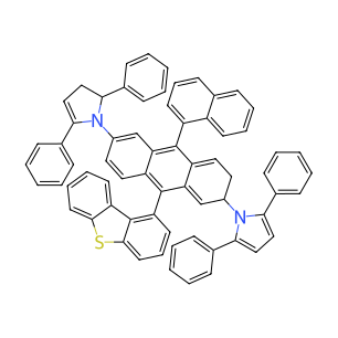 C1=C(c2ccccc2)N(c2ccc3c(-c4cccc5sc6ccccc6c45)c4c(c(-c5cccc6ccccc56)c3c2)=CCC(n2c(-c3ccccc3)ccc2-c2ccccc2)C=4)C(c2ccccc2)C1